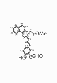 COCCN1/C(=C/C=C/c2ccc(O)c(OC=O)c2)Sc2c1ccc1ccccc21